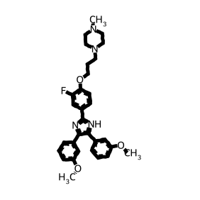 COc1cccc(-c2nc(-c3ccc(OCCCN4CCN(C)CC4)c(F)c3)[nH]c2-c2cccc(OC)c2)c1